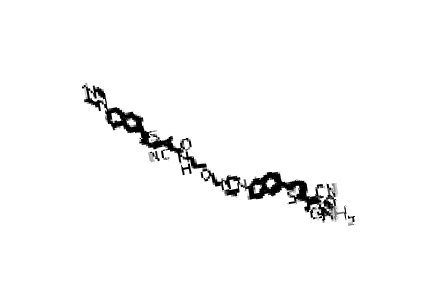 C/C(=C(/C#N)C(=O)NCCCOCCN1CCN(c2ccc3cc(-c4ccc(/C(C)=C(\C#N)S(N)(=O)=O)s4)ccc3c2)CC1)c1ccc(-c2ccc3cc(N4CCN(C)CC4)ccc3c2)s1